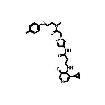 Cc1ccc(OCCN(C)C(=O)Cn2cc(NC(=O)CCNc3c(F)cncc3C3CC3)cn2)cc1